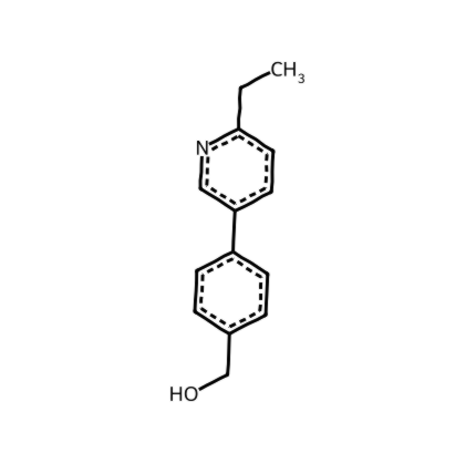 CCc1ccc(-c2ccc(CO)cc2)cn1